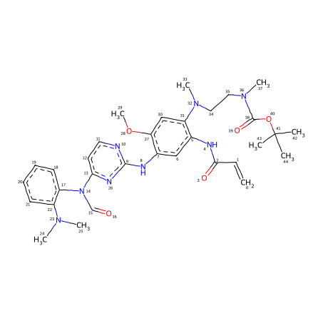 C=CC(=O)Nc1cc(Nc2nccc(N(C=O)c3ccccc3N(C)C)n2)c(OC)cc1N(C)CCN(C)C(=O)OC(C)(C)C